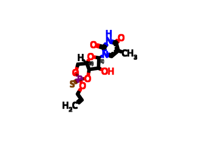 C=CCOP1(=S)OC[C@H]2O[C@@H](n3cc(C)c(=O)[nH]c3=O)C(O)C2O1